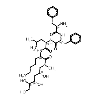 CC(C)C[C@@H](NC(=O)[C@@H](Cc1ccccc1)NC(=O)[C@H](N)Cc1ccccc1)C(=O)N[C@H](CCCCN)C(=O)N(C)C[C@H](O)C[C@H](O)[C@H](O)CO